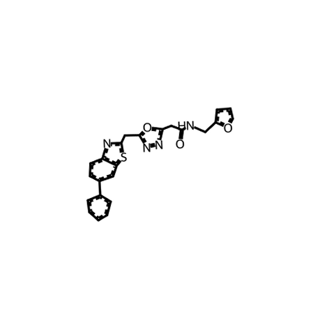 O=C(Cc1nnc(Cc2nc3ccc(-c4ccccc4)cc3s2)o1)NCc1ccco1